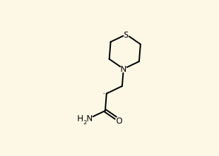 NC(=O)[CH]CN1CCSCC1